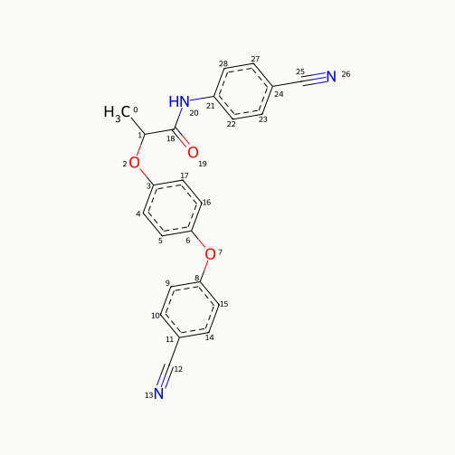 CC(Oc1ccc(Oc2ccc(C#N)cc2)cc1)C(=O)Nc1ccc(C#N)cc1